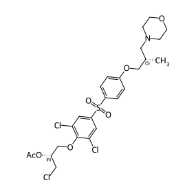 CC(=O)O[C@@H](CCl)COc1c(Cl)cc(S(=O)(=O)c2ccc(OC[C@@H](C)CN3CCOCC3)cc2)cc1Cl